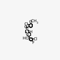 COc1cccc(C(=O)N2CCN3C[C@](O)(c4ccc(F)c(Cl)c4)CC[C@H]3C2)c1Cl